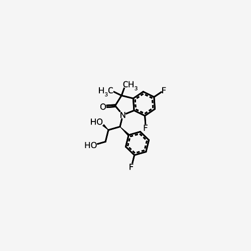 CC1(C)C(=O)N([C@@H](c2cccc(F)c2)[C@H](O)CO)c2c(F)cc(F)cc21